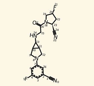 N#Cc1cc(F)cc(N2CC3C(C2)C3NCC(=O)N2C[C@@H](F)C[C@H]2C#N)c1